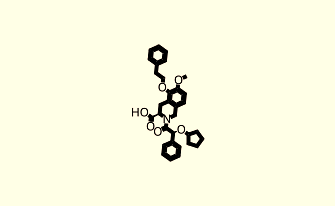 COc1ccc2c(c1OCCc1ccccc1)C[C@H](C(=O)O)N(C(=O)[C@H](OC1CCCC1)c1ccccc1)C2